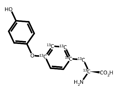 N[13C@@H]([13CH2][13c]1cc[13c](Oc2ccc(O)cc2)[13cH][13cH]1)C(=O)O